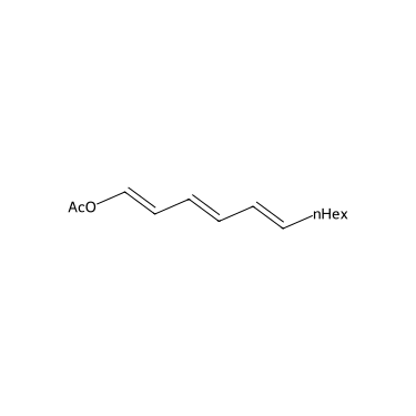 CCCCCC/C=C/C=C/C=C/OC(C)=O